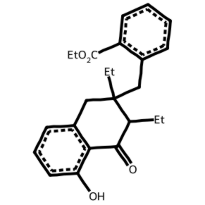 CCOC(=O)c1ccccc1CC1(CC)Cc2cccc(O)c2C(=O)C1CC